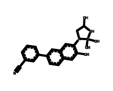 N#Cc1cccc(-c2ccc3cc(O)c(N4CC(O)NS4(O)O)cc3c2)c1